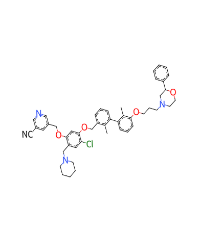 Cc1c(COc2cc(OCc3cncc(C#N)c3)c(CN3CCCCC3)cc2Cl)cccc1-c1cccc(OCCCN2CCOC(c3ccccc3)C2)c1C